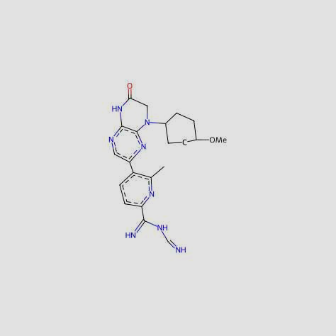 COC1CCC(N2CC(=O)Nc3ncc(-c4ccc(C(=N)NC=N)nc4C)nc32)CC1